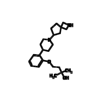 CC(C)(O)CCOc1ccccc1C1CCN(C2CCC3(CNC3)C2)CC1